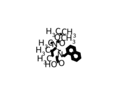 CCC(C)[C@@H](CN(CC(=O)O)Cc1cccc2ccccc12)N(C)C(=O)OC(C)(C)C